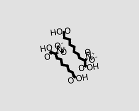 O=C(O)CCCCCCC(C(=O)O)[N+](=O)[O-].O=C(O)CCCCCCCC(C(=O)O)[N+](=O)[O-]